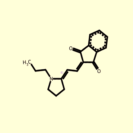 CCCN1CCC/C1=C\C=C1C(=O)c2ccccc2C1=O